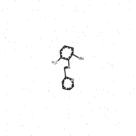 Cc1cccc(C(C)(C)C)c1N=Cc1ccccn1